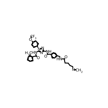 C=NCCCCC(=O)NCc1ccc(C(=O)Nc2nc(NC(=O)c3ccccc3C)n(-c3ccc(OC(F)(F)F)cc3)n2)cc1